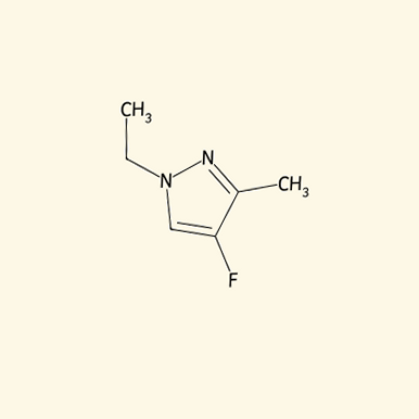 CCn1cc(F)c(C)n1